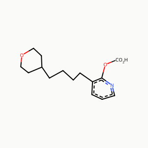 O=C(O)Oc1ncccc1CCCCC1CCOCC1